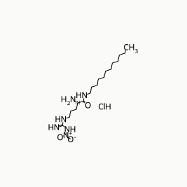 CCCCCCCCCCCCNC(=O)[C@@H](N)CCCNC(=N)N[N+](=O)[O-].Cl